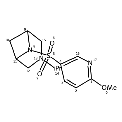 COc1ccc(S(=O)(=O)N2C3CC2CN(C(C)C)C3)cn1